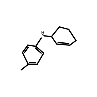 Cc1ccc(PC2C=CCCC2)cc1